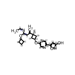 C=C(/C=C(\N=C/C)OC1CCC1)[C@]1(F)C[C@H](Oc2cnc(-c3cc(O)no3)cn2)C1